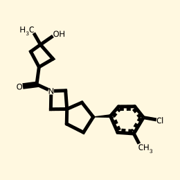 Cc1cc([C@H]2CCC3(C2)CN(C(=O)C2CC(C)(O)C2)C3)ccc1Cl